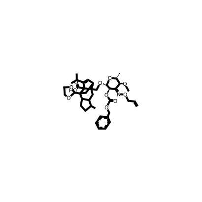 C=CCON=C1[C@@H](OC(=O)OCc2ccccc2)[C@H](OCC23CC4C(C)CCC4C4(C5OCCO5)CC2C=C(C(C)C)C34C(=O)O)O[C@H](C)[C@H]1OC